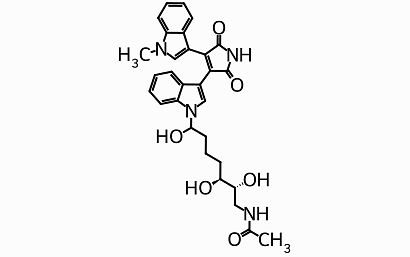 CC(=O)NC[C@@H](O)[C@@H](O)CCCC(O)n1cc(C2=C(c3cn(C)c4ccccc34)C(=O)NC2=O)c2ccccc21